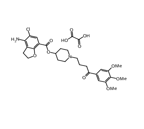 COc1cc(C(=O)CCCN2CCC(OC(=O)c3cc(Cl)c(N)c4c3OCC4)CC2)cc(OC)c1OC.O=C(O)C(=O)O